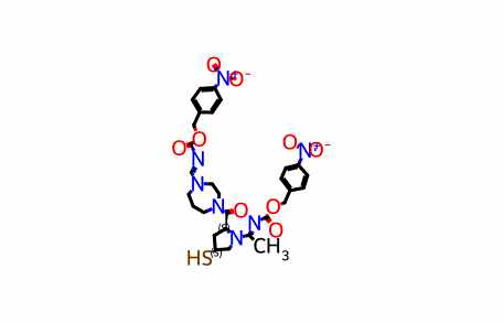 CC(=NC(=O)OCc1ccc([N+](=O)[O-])cc1)N1C[C@@H](S)C[C@H]1C(=O)N1CCCN(C=NC(=O)OCc2ccc([N+](=O)[O-])cc2)CC1